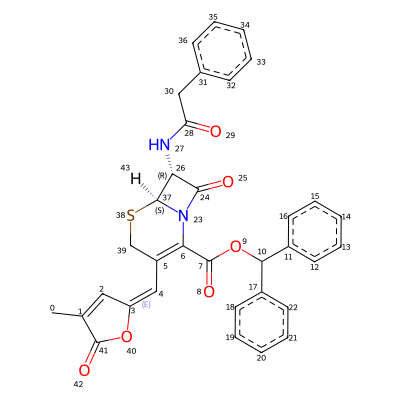 CC1=C/C(=C\C2=C(C(=O)OC(c3ccccc3)c3ccccc3)N3C(=O)[C@@H](NC(=O)Cc4ccccc4)[C@@H]3SC2)OC1=O